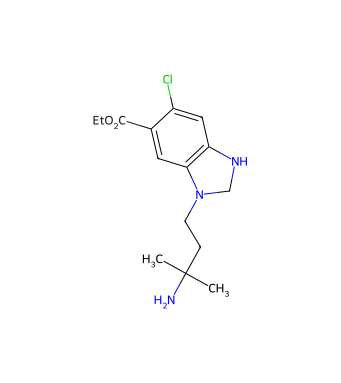 CCOC(=O)c1cc2c(cc1Cl)NCN2CCC(C)(C)N